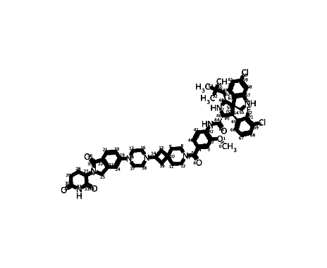 COc1cc(C(=O)N2CCC3(CC2)CC(N2CCN(c4ccc5c(c4)CN(C4CCC(=O)NC4=O)C5=O)CC2)C3)ccc1NC(=O)[C@@H]1N[C@@H](CC(C)(C)C)[C@@]2(CNc3cc(Cl)ccc32)[C@H]1c1cccc(Cl)c1F